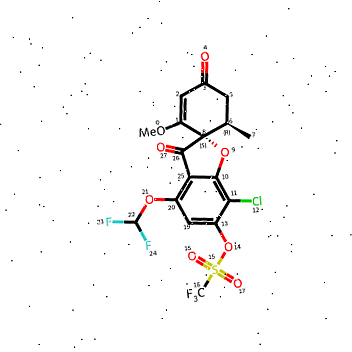 COC1=CC(=O)C[C@@H](C)[C@]12Oc1c(Cl)c(OS(=O)(=O)C(F)(F)F)cc(OC(F)F)c1C2=O